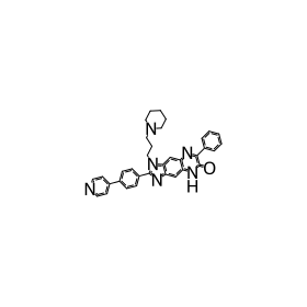 O=c1[nH]c2cc3nc(-c4ccc(-c5ccncc5)cc4)n(CCCN4CCCCC4)c3cc2nc1-c1ccccc1